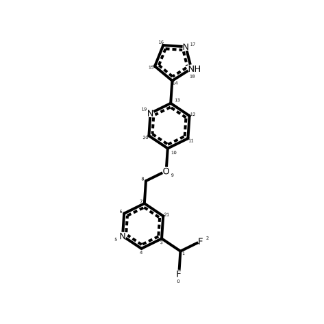 FC(F)c1cncc(COc2ccc(-c3ccn[nH]3)nc2)c1